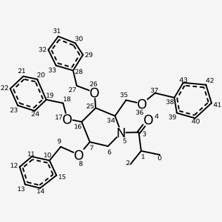 CC(C)C(=O)N1CC(OCc2ccccc2)C(OCc2ccccc2)C(OCc2ccccc2)C1COCc1ccccc1